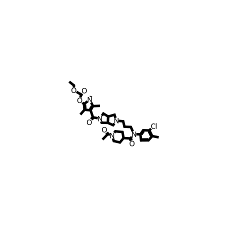 CCOC(=O)Oc1c(C)c(C(=O)N2CC3CN(CCCN(C(=O)C4CCN(C(C)=O)CC4)c4ccc(C)c(Cl)c4)CC3C2)c(C)n1C